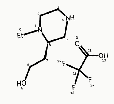 CCN1CCNC[C@H]1CCO.O=C(O)C(F)(F)F